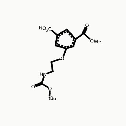 COC(=O)c1cc(OCCNC(=O)OC(C)(C)C)cc(C(=O)O)c1